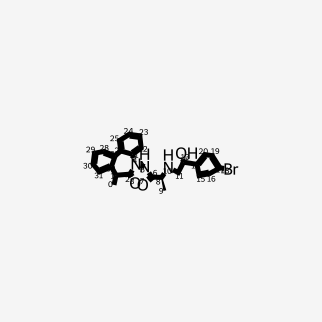 CC1C(=O)N(NC(=O)[C@H](C)NCC(O)c2ccc(Br)cc2)c2ccccc2-c2ccccc21